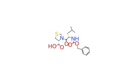 CC(C)C[C@H](NC(=O)OCc1ccccc1)C(=O)N1CSC[C@H]1C(=O)O